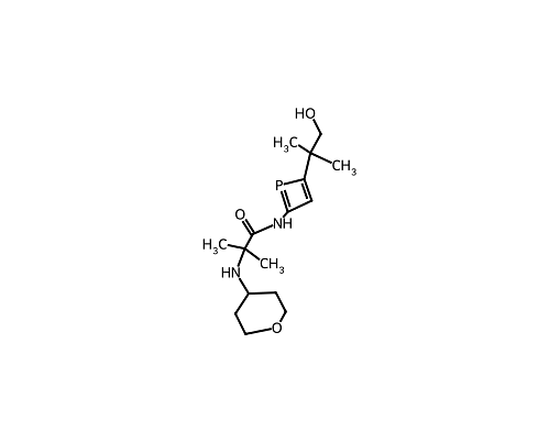 CC(C)(CO)C1=CC(NC(=O)C(C)(C)NC2CCOCC2)=P1